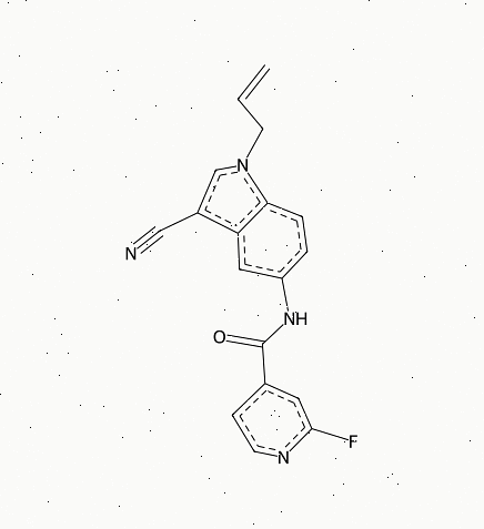 C=CCn1cc(C#N)c2cc(NC(=O)c3ccnc(F)c3)ccc21